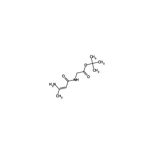 CC(N)=CC(=O)NCC(=O)OC(C)(C)C